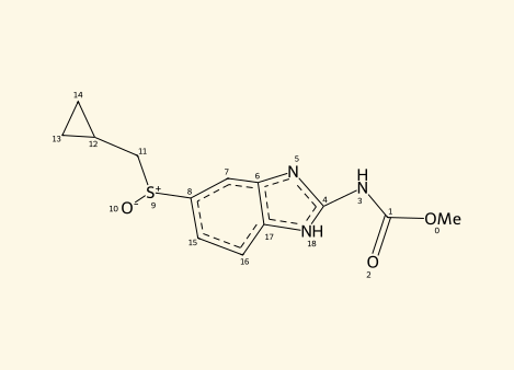 COC(=O)Nc1nc2cc([S+]([O-])CC3CC3)ccc2[nH]1